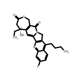 CCCCc1c2c(nc3cc(F)ccc13)-c1cc3c(c(=O)n1C2)COC(=O)C[C@]3(O)CC